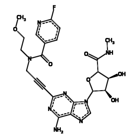 CNC(=O)C1OC(n2cnc3c(N)nc(C#CCN(CCOC)C(=O)c4ccc(F)nc4)nc32)[C@H](O)[C@@H]1O